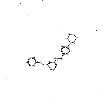 c1ccc(COc2cccc(NCc3ccc(C4CCCCC4)cc3)c2)cc1